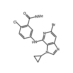 CNC(=O)c1cc(Nc2nc(Br)cc3ncn(C4CC4)c23)ccc1Cl